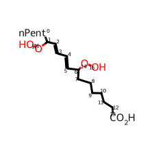 CCCCCC(/C=C/C=C/C(CCCCCCC(=O)O)OO)OO